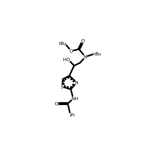 CCCCN(CC(O)c1csc(NC(=O)C(C)C)n1)C(=O)OC(C)(C)C